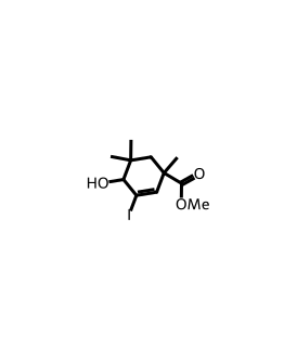 COC(=O)C1(C)C=C(I)C(O)C(C)(C)C1